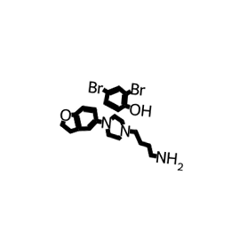 NCCCCN1CCN(c2ccc3c(c2)CCO3)CC1.Oc1ccc(Br)cc1Br